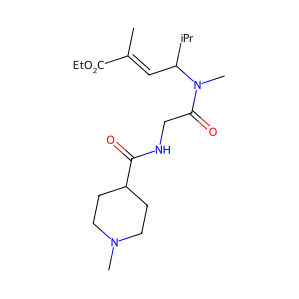 CCOC(=O)/C(C)=C/C(C(C)C)N(C)C(=O)CNC(=O)C1CCN(C)CC1